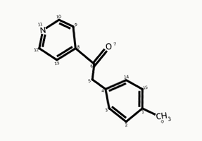 Cc1ccc(CC(=O)c2ccncc2)cc1